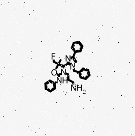 CC(C)(CF)[C@H](c1nc(-c2ccccc2)cn1Cc1ccccc1)N(CCCN)C(=O)Nc1ccccc1